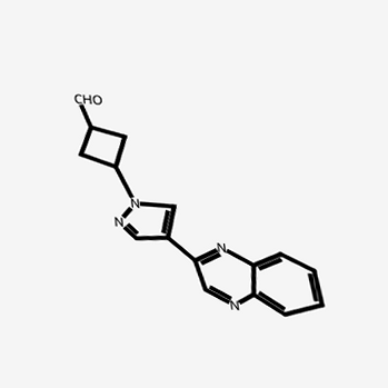 O=CC1CC(n2cc(-c3cnc4ccccc4n3)cn2)C1